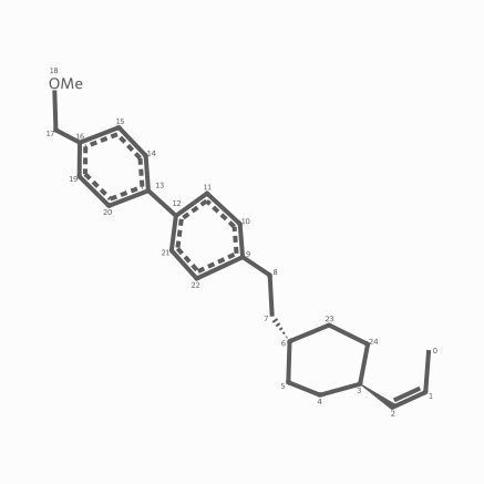 C/C=C\[C@H]1CC[C@H](CCc2ccc(-c3ccc(COC)cc3)cc2)CC1